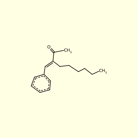 CCCCCC/C(=C\c1ccccc1)C(C)=O